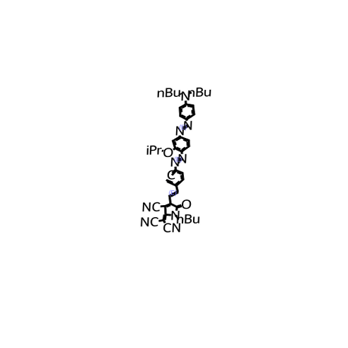 CCCCN1C(=O)C(/C=C/c2ccc(/N=N/c3ccc(/N=N/c4ccc(N(CCCC)CCCC)cc4)cc3OC(C)C)cc2)=C(C#N)C1=C(C#N)C#N